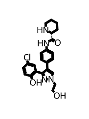 O=C(Nc1ccc(-c2cn(CCO)nc2-c2cc(Cl)ccc2O)cc1)[C@H]1CCCCN1